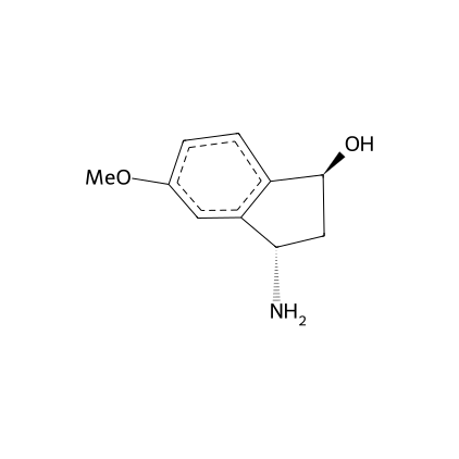 COc1ccc2c(c1)[C@@H](N)C[C@@H]2O